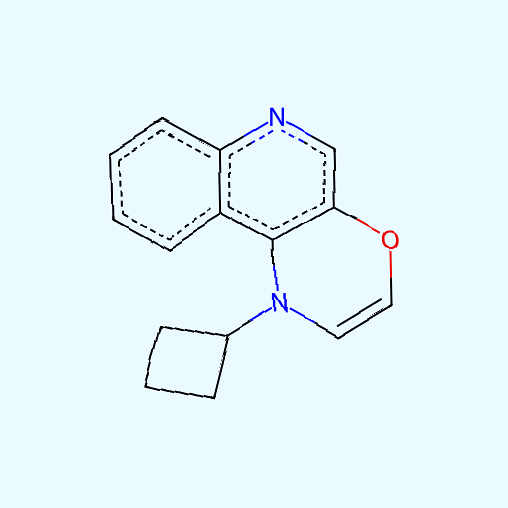 C1=CN(C2CCC2)c2c(cnc3ccccc23)O1